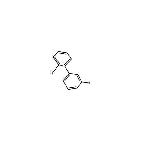 Fc1cccc(-c2ccccc2Cl)c1